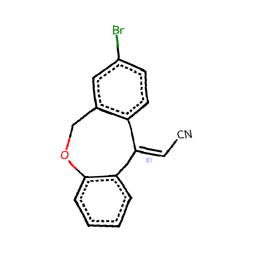 N#C/C=C1\c2ccc(Br)cc2COc2ccccc21